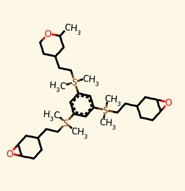 CC1CC(CCS(C)(C)c2cc(S(C)(C)CCC3CCC4OC4C3)cc(S(C)(C)CCC3CCC4OC4C3)c2)CCO1